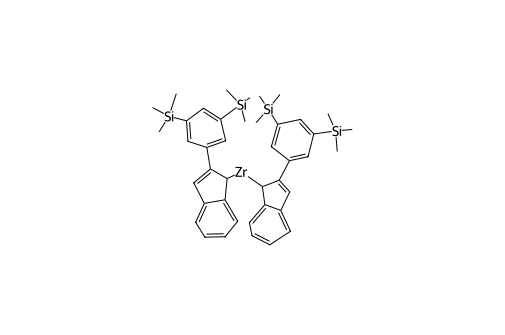 C[Si](C)(C)c1cc(C2=Cc3ccccc3[CH]2[Zr][CH]2C(c3cc([Si](C)(C)C)cc([Si](C)(C)C)c3)=Cc3ccccc32)cc([Si](C)(C)C)c1